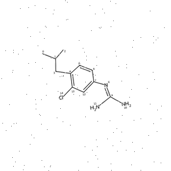 CC(C)Cc1ccc(N=C(N)N)cc1Cl